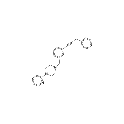 C(#Cc1cccc(CN2CCN(c3ccccn3)CC2)c1)Cc1ccccc1